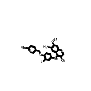 CCOc1cc2ncc(C#N)c(Nc3ccc(OCc4ccc(C(C)(C)C)nc4)c(Cl)c3)c2cc1N